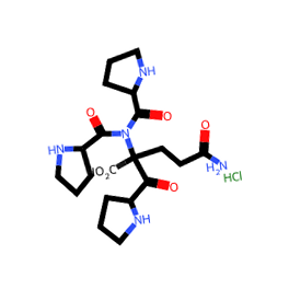 Cl.NC(=O)CCC(C(=O)O)(C(=O)C1CCCN1)N(C(=O)C1CCCN1)C(=O)C1CCCN1